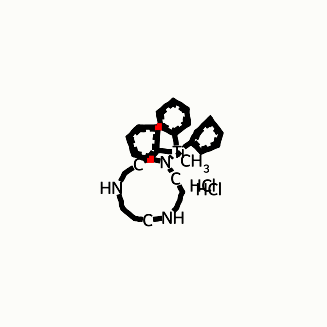 Cl.Cl.[CH3][Ti]([c]1ccccc1)([c]1ccccc1)([c]1ccccc1)[N]1CCCNCCCNCCC1